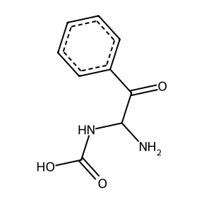 NC(NC(=O)O)C(=O)c1ccccc1